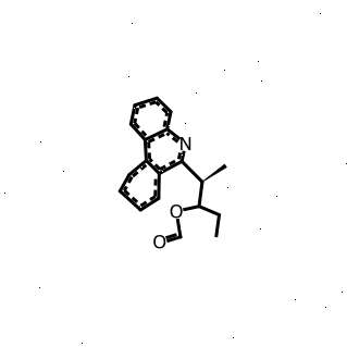 CCC(OC=O)[C@H](C)c1nc2ccccc2c2ccccc12